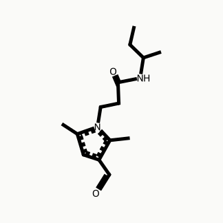 CCC(C)NC(=O)CCn1c(C)cc(C=O)c1C